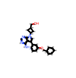 Nc1ncnc2c1c(-c1cccc(OCc3ccccc3)c1)cn2C1CC(CO)C1